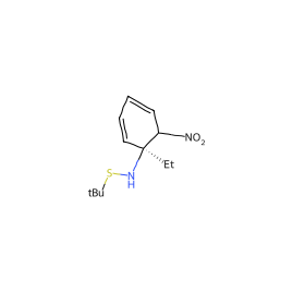 CC[C@]1(NSC(C)(C)C)C=CC=CC1[N+](=O)[O-]